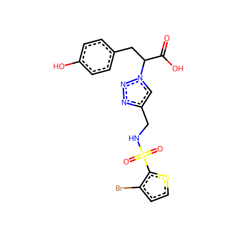 O=C(O)C(Cc1ccc(O)cc1)n1cc(CNS(=O)(=O)c2sccc2Br)nn1